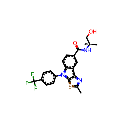 Cc1nc2c3cc(C(=O)N[C@H](C)CO)ccc3n(-c3ccc(C(F)(F)F)cc3)c2s1